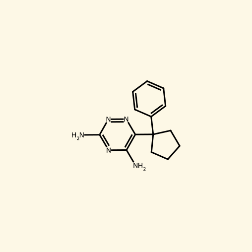 Nc1nnc(C2(c3ccccc3)CCCC2)c(N)n1